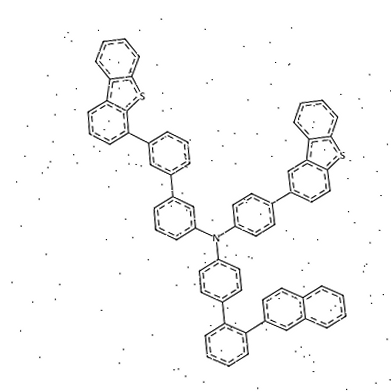 c1cc(-c2cccc(N(c3ccc(-c4ccc5sc6ccccc6c5c4)cc3)c3ccc(-c4ccccc4-c4ccc5ccccc5c4)cc3)c2)cc(-c2cccc3c2sc2ccccc23)c1